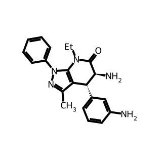 CCN1C(=O)[C@@H](N)[C@H](c2cccc(N)c2)c2c(C)nn(-c3ccccc3)c21